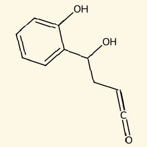 O=C=CCC(O)c1ccccc1O